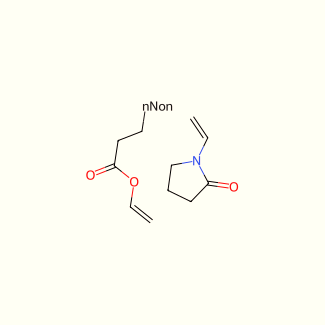 C=CN1CCCC1=O.C=COC(=O)CCCCCCCCCCC